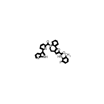 Cc1cccc(F)c1NC(=O)c1cc2c(o1)-c1ccccc1N(C(=O)c1cccc(-c3c[nH]c4ncccc34)n1)CC2